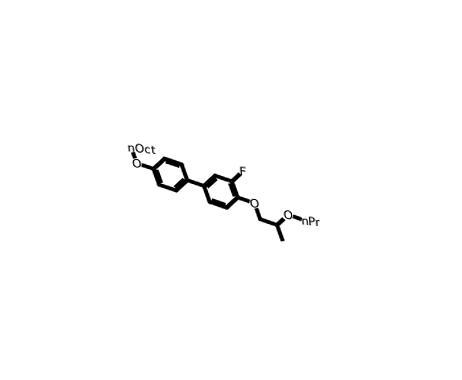 CCCCCCCCOc1ccc(-c2ccc(OCC(C)OCCC)c(F)c2)cc1